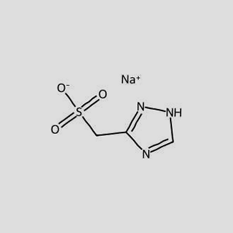 O=S(=O)([O-])Cc1nc[nH]n1.[Na+]